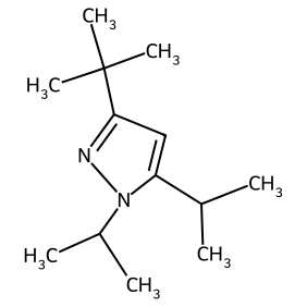 CC(C)c1cc(C(C)(C)C)nn1C(C)C